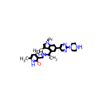 C=C(NCc1c(C)cc(C)[nH]c1=O)c1cc(-c2cnc(N3CCNCC3)nc2)cc2c1c(C)cn2C(C)C